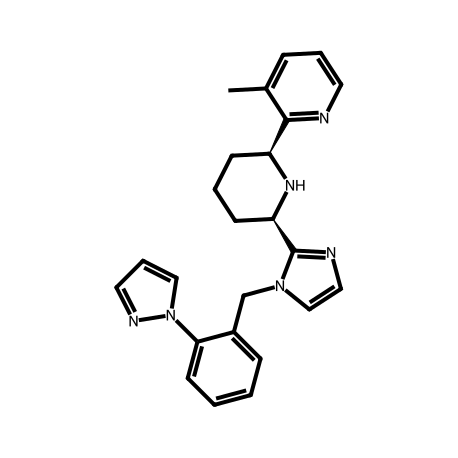 Cc1cccnc1[C@@H]1CCC[C@H](c2nccn2Cc2ccccc2-n2cccn2)N1